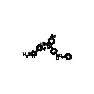 CC(=O)N1CCc2c(c(Nc3ccc(-c4cnn(C)c4)cc3F)nn2C2CCN(C(=O)OCc3ccccc3)CC2)C1